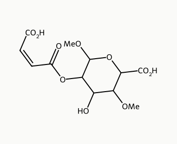 COC1OC(C(=O)O)C(OC)C(O)C1OC(=O)/C=C\C(=O)O